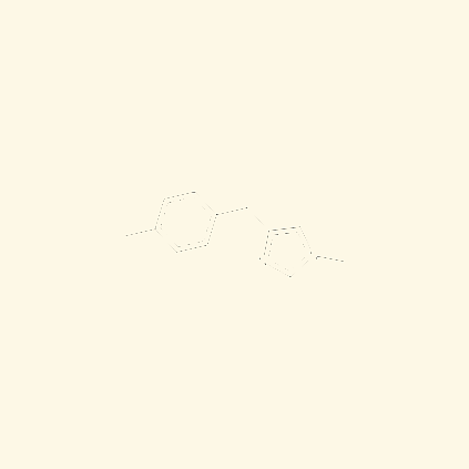 Cc1ccc(Cc2cn(C)cn2)cc1